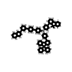 CC1(C)c2ccccc2-c2cccc(-c3ccc(N(c4ccc(-c5ccc(-c6cccc(-c7ccc8ccccc8c7)c6)cc5)cc4)c4ccc(-c5cccc6c5-c5ccccc5C6(c5ccccc5)c5ccccc5)cc4)cc3)c21